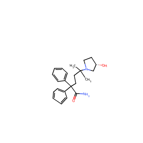 CC(C)(CCC(C(N)=O)(c1ccccc1)c1ccccc1)N1CC[C@H](O)C1